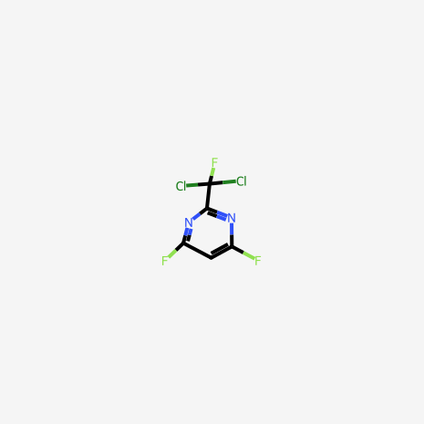 Fc1cc(F)nc(C(F)(Cl)Cl)n1